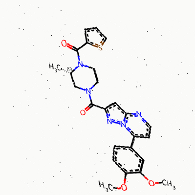 COc1ccc(-c2ccnc3cc(C(=O)N4CCN(C(=O)c5cccs5)[C@@H](C)C4)nn23)cc1OC